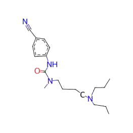 CCCN(CCC)CCCCN(C)C(=O)Nc1ccc(C#N)cc1